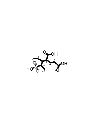 CCC(C(CCC(=O)O)C(=O)O)C(C)S(=O)(=O)O